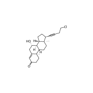 C[C@]12CC[C@H]3[C@@H]([C@@H](O)CC4=CC(=O)CC[C@@]43C)[C@@H]1CC[C@H]2C#CCCCl